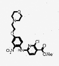 COC(=O)c1ccc(Nc2ccc(OCCN3CCOCC3)cc2[N+](=O)[O-])nc1Cl